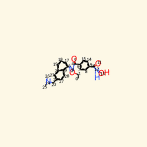 CCON(C(=O)c1ccc(C(=O)NO)cc1)c1cccc2cc(CN(C)C)ccc12